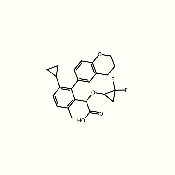 Cc1ccc(C2CC2)c(-c2ccc3c(c2)CCCO3)c1C(OC1CC1(F)F)C(=O)O